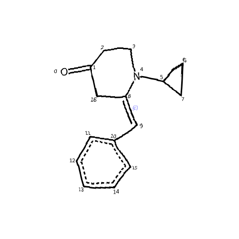 O=C1CCN(C2CC2)/C(=C/c2ccccc2)C1